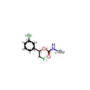 CC(C)(C)NC(=O)OC(CF)c1cccc(Br)c1